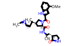 C=C(/C=C\N=C/C)[C@@H]1C[C@@H](C(=O)N[C@H](C#N)C[C@@H]2CCNC2=O)N(C(=O)c2cc3c(OC)cccc3[nH]2)C1